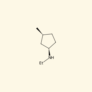 CCN[C@@H]1CC[C@H](C)C1